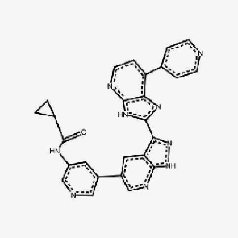 O=C(Nc1cncc(-c2cnc3[nH]nc(-c4nc5c(-c6ccncc6)ccnc5[nH]4)c3c2)c1)C1CC1